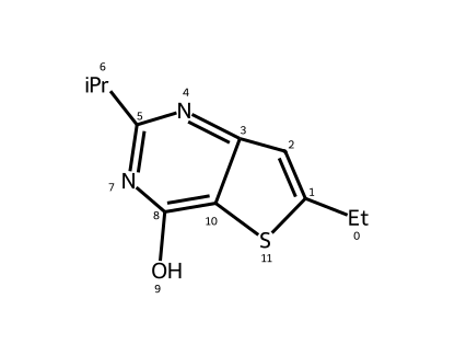 CCc1cc2nc(C(C)C)nc(O)c2s1